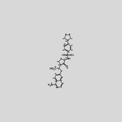 Nc1nccc2cc(CC(C(=O)O)N3CCC(NS(=O)(=O)c4ccc(N5CCCC5)nc4)C3=O)ccc12